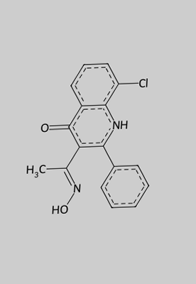 CC(=NO)c1c(-c2ccccc2)[nH]c2c(Cl)cccc2c1=O